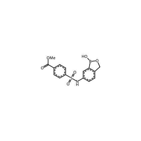 COC(=O)c1ccc(S(=O)(=O)Nc2ccc3c(c2)B(O)OC3)cc1